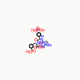 N=C1NCCN1C(=O)N[C@@H](C(=O)N[C@H]1Cc2cccc(C(=O)O)c2OB1O)c1ccc(P(=O)(O)O)cc1